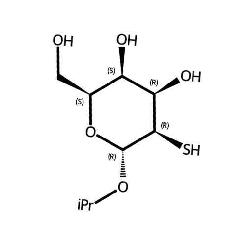 CC(C)O[C@@H]1O[C@@H](CO)[C@@H](O)[C@@H](O)[C@H]1S